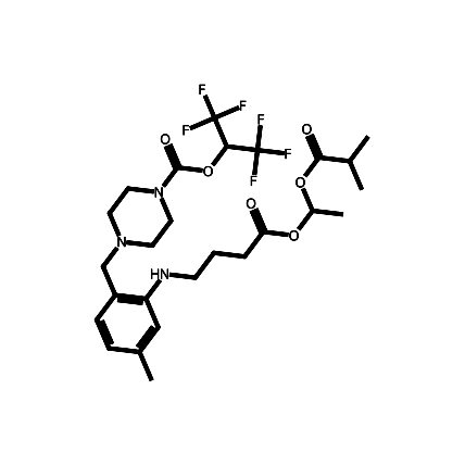 Cc1ccc(CN2CCN(C(=O)OC(C(F)(F)F)C(F)(F)F)CC2)c(NCCCC(=O)OC(C)OC(=O)C(C)C)c1